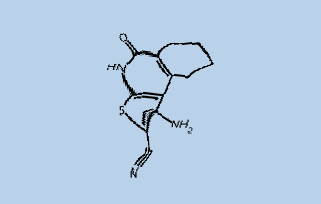 N#Cc1sc2[nH]c(=O)c3c(c2c1N)CCCC3